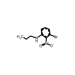 CCCNc1cccc(Br)c1[N+](=O)[O-]